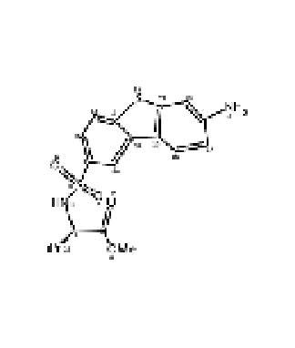 COC(=O)[C@H](NS(=O)(=O)c1ccc2sc3cc(N)ccc3c2c1)C(C)C